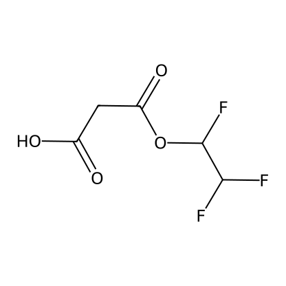 O=C(O)CC(=O)OC(F)C(F)F